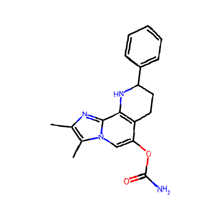 Cc1nc2c3c(c(OC(N)=O)cn2c1C)CCC(c1ccccc1)N3